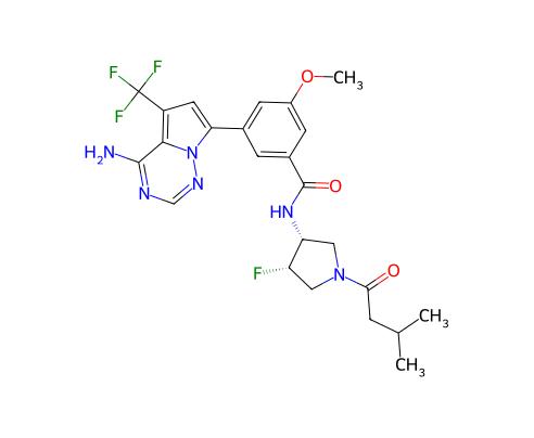 COc1cc(C(=O)N[C@@H]2CN(C(=O)CC(C)C)C[C@@H]2F)cc(-c2cc(C(F)(F)F)c3c(N)ncnn23)c1